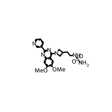 COc1cc2nc(-c3cccnc3)nc(N3CC(CCNS(N)(=O)=O)C3)c2cc1OC